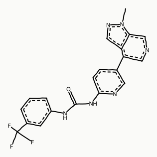 Cn1ncc2c(-c3ccc(NC(=O)Nc4cccc(C(F)(F)F)c4)nc3)cncc21